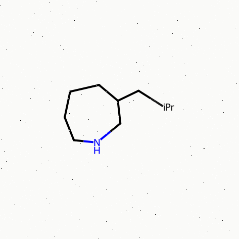 CC(C)CC1CCCCNC1